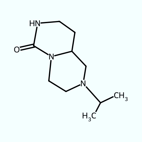 CC(C)N1CCN2C(=O)NCCC2C1